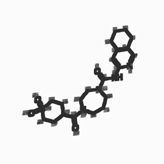 O=C(Nc1cc2c(cn1)CCCC2)N1CCCN(C(=O)C2CCS(=O)(=O)CC2)CC1